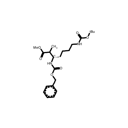 COC(=O)C(C)[C@H](CCCCNC(=O)OC(C)(C)C)NC(=O)OCc1ccccc1